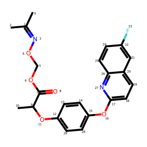 CC(C)=NOCOC(=O)C(C)Oc1ccc(Oc2ccc3cc(F)ccc3n2)cc1